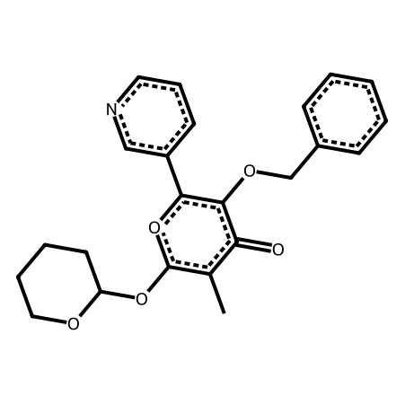 Cc1c(OC2CCCCO2)oc(-c2cccnc2)c(OCc2ccccc2)c1=O